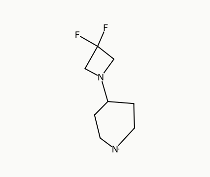 FC1(F)CN(C2CC[N]CC2)C1